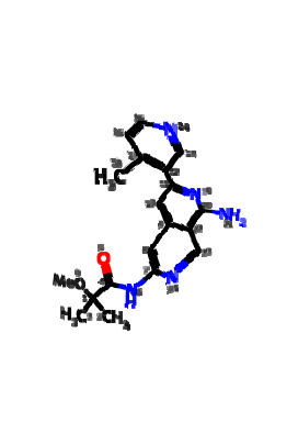 COC(C)(C)C(=O)Nc1cc2cc(-c3cnccc3C)nc(N)c2cn1